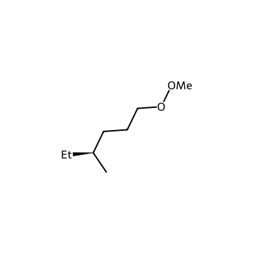 CC[C@H](C)CCCOOC